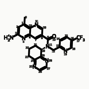 Cc1cc(N)nc2cc(C(=O)N(Cc3ccc(C(F)(F)F)cn3)[C@H]3CCCc4nccnc43)cnc12